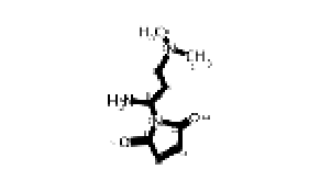 CN(C)CCC(N)N1C(=O)C=CC1=O